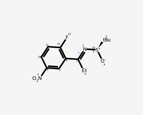 CC/C(=N\[S@+]([O-])C(C)(C)C)c1cc([N+](=O)[O-])ccc1F